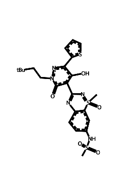 CC(C)(C)CCn1nc(-c2cccs2)c(O)c(C2=Nc3ccc(NS(C)(=O)=O)cc3S(C)(=O)=N2)c1=O